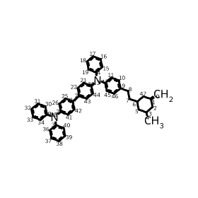 C=C1CC(C)CC(CCc2ccc(N(c3ccccc3)c3ccc(-c4ccc(N(c5ccccc5)c5ccccc5)cc4)cc3)cc2)C1